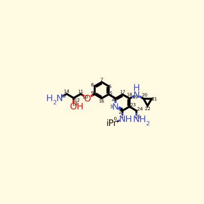 CC(C)Nc1nc(-c2cccc(OCC(O)CN)c2)cc(NC2CC2)c1CN